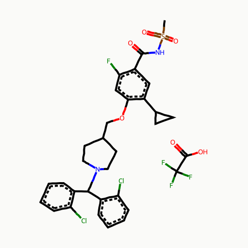 CS(=O)(=O)NC(=O)c1cc(C2CC2)c(OCC2CCN(C(c3ccccc3Cl)c3ccccc3Cl)CC2)cc1F.O=C(O)C(F)(F)F